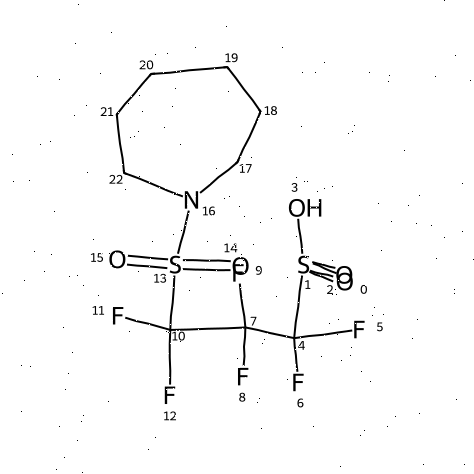 O=S(=O)(O)C(F)(F)C(F)(F)C(F)(F)S(=O)(=O)N1CCCCCC1